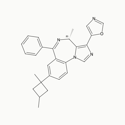 CC1CC(C)(c2ccc3c(c2)C(c2ccccc2)=N[C@H](C)c2c(-c4cnco4)ncn2-3)C1